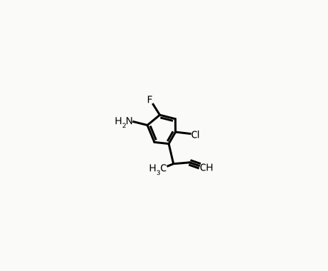 C#CC(C)c1cc(N)c(F)cc1Cl